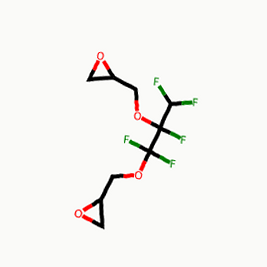 FC(F)C(F)(OCC1CO1)C(F)(F)OCC1CO1